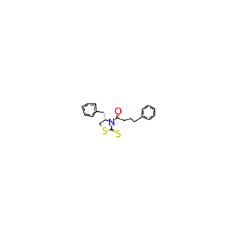 O=C(CCCc1ccccc1)N1C(=S)SC[C@@H]1Cc1ccccc1